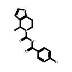 CC1c2ccsc2CCN1C(=S)NC(=O)c1ccc(Cl)cc1